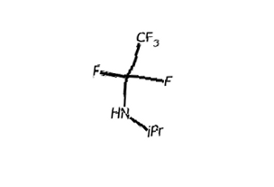 CC(C)NC(F)(F)C(F)(F)F